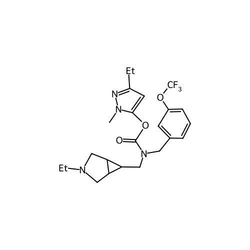 CCc1cc(OC(=O)N(Cc2cccc(OC(F)(F)F)c2)CC2C3CN(CC)CC32)n(C)n1